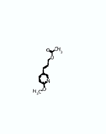 COc1ccc(C=CCOC(C)=O)cn1